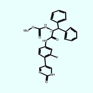 CC(C)(C)OC(=O)N[C@H](C(=O)Nc1ccc(-c2cnc(=O)[nH]c2)c(F)c1)C(c1ccccc1)c1ccccc1